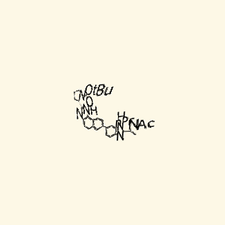 CCCN(C(C)=O)[C@@H](C)c1nc2ccc(-c3ccc4c(ccc5nc([C@@H]6CCCN6C(=O)OC(C)(C)C)[nH]c54)c3)cc2[nH]1